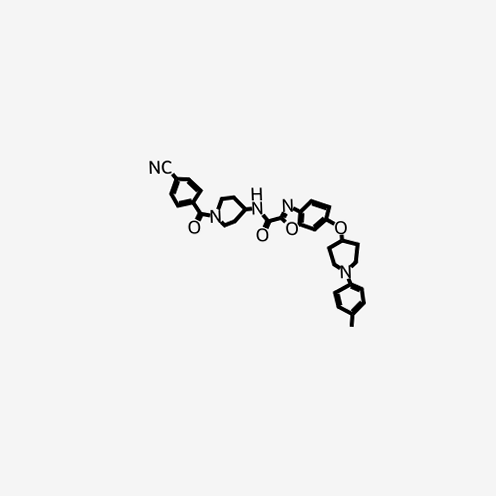 Cc1ccc(N2CCC(Oc3ccc4nc(C(=O)NC5CCN(C(=O)c6ccc(C#N)cc6)CC5)oc4c3)CC2)cc1